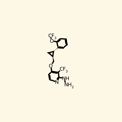 NNc1nccc(OC[C@H]2C[C@@H]2c2ccccc2OC(F)(F)F)c1C(F)(F)F